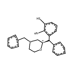 CCCc1c(S)cccc1C(c1ccccc1)[C@@H]1CN(Cc2ccccc2)CCO1